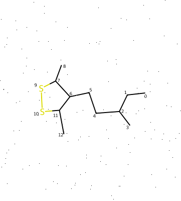 CCC(C)CCC1C(C)SSC1C